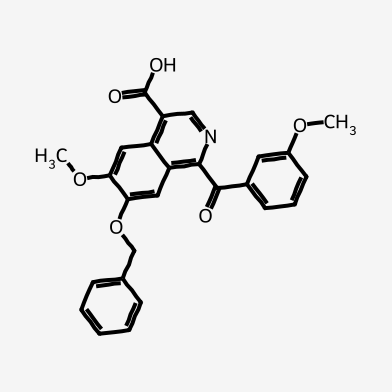 COc1cccc(C(=O)c2ncc(C(=O)O)c3cc(OC)c(OCc4ccccc4)cc23)c1